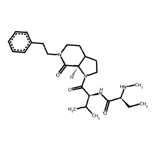 CC[C@H](NC)C(=O)N[C@H](C(=O)N1CCC2CCN(CCc3ccccc3)C(=O)[C@@H]21)C(C)C